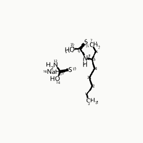 CCCCCC(CC)NC(O)=S.NC(O)=S.[NaH]